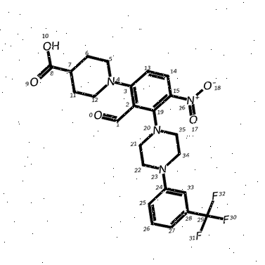 O=Cc1c(N2CCC(C(=O)O)CC2)ccc([N+](=O)[O-])c1N1CCN(c2cccc(C(F)(F)F)c2)CC1